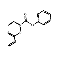 C=CC(=O)ON(CC)C(=O)Oc1ccccc1